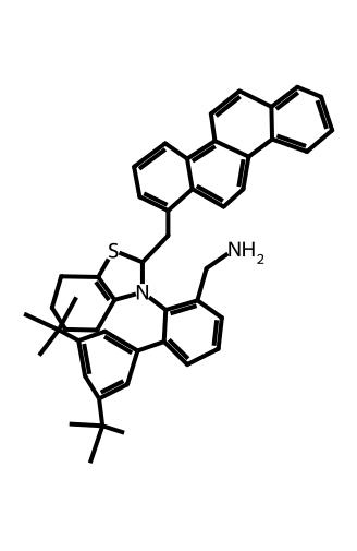 CC(C)(C)c1cc(-c2cccc(CN)c2N2C3=C(CCCC3)SC2Cc2cccc3c2ccc2c4ccccc4ccc32)cc(C(C)(C)C)c1